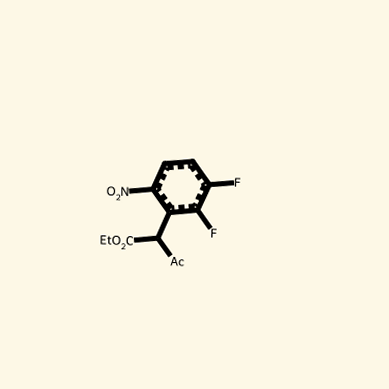 CCOC(=O)C(C(C)=O)c1c([N+](=O)[O-])ccc(F)c1F